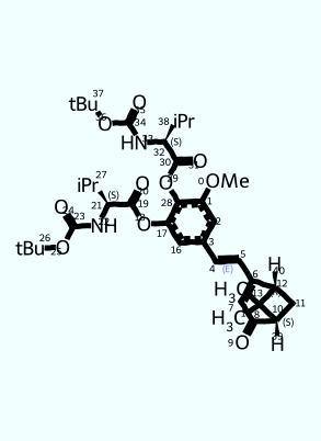 COc1cc(/C=C/C2=CC(=O)[C@H]3C[C@@H]2C3(C)C)cc(OC(=O)[C@@H](NC(=O)OC(C)(C)C)C(C)C)c1OC(=O)[C@@H](NC(=O)OC(C)(C)C)C(C)C